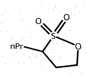 CCCC1CCOS1(=O)=O